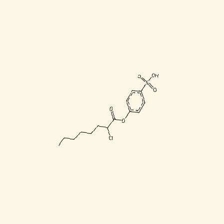 CCCCCCC(Cl)C(=O)Oc1ccc(S(=O)(=O)O)cc1